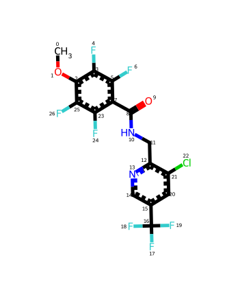 COc1c(F)c(F)c(C(=O)NCc2ncc(C(F)(F)F)cc2Cl)c(F)c1F